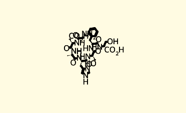 C[C@H](NC(=O)[C@H](CC(=O)O)NC(=O)CN)C(=O)N[C@@H](Cc1c[nH]cn1)C(=O)N[C@@H](CO)C(=O)N[C@@H](Cc1ccccc1)C(=O)N[C@@H](CO)C(=O)O